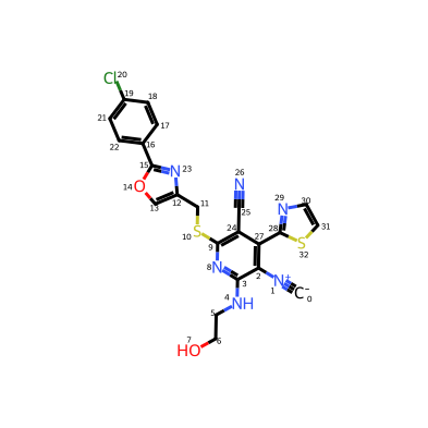 [C-]#[N+]c1c(NCCO)nc(SCc2coc(-c3ccc(Cl)cc3)n2)c(C#N)c1-c1nccs1